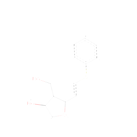 OCC1C(O)COC1C=CSc1ccccc1